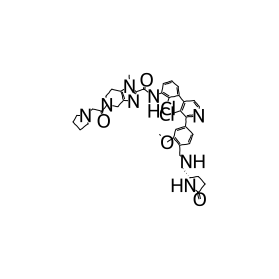 COc1cc(-c2nccc(-c3cccc(NC(=O)c4nc5c(n4C)CCN(C(=O)CN4CCCC4)C5)c3Cl)c2Cl)ccc1CNC[C@@H]1CCC(=O)N1